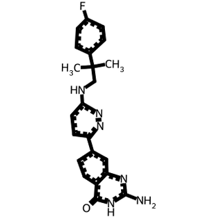 CC(C)(CNc1ccc(-c2ccc3c(=O)[nH]c(N)nc3c2)nn1)c1ccc(F)cc1